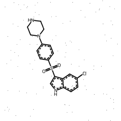 O=S(=O)(c1ccc(N2CCNCC2)cc1)c1c[nH]c2ccc(Cl)cc12